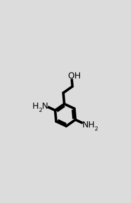 Nc1ccc(N)c(CCO)c1